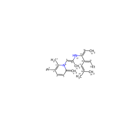 C=C1C=CC(C(C)C)=C(C)N1/C=C(\C)NC(=C/C)/C(C=C(C)C)=C/CC